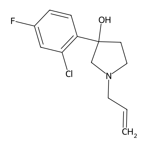 C=CCN1CCC(O)(c2ccc(F)cc2Cl)C1